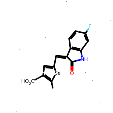 Cc1[se]c(C=C2C(=O)Nc3cc(F)ccc32)cc1C(=O)O